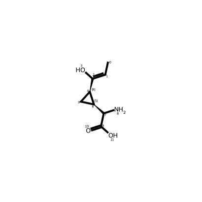 CC=C(O)[C@@H]1C[C@@H]1C(N)C(=O)O